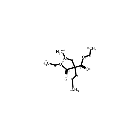 CCCC(COC)(C(=O)OCC)C(=O)OCC